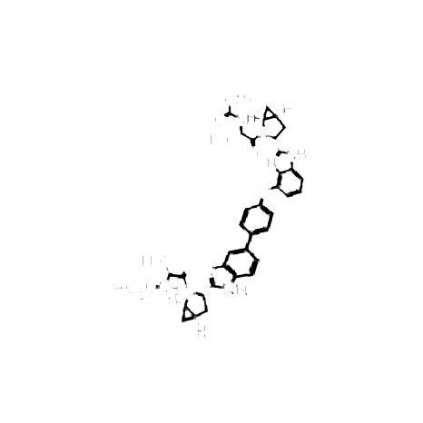 COC(=O)N[C@@H](C)C(=O)N1[C@@H]2C[C@H]2C[C@H]1c1nc2c(Oc3ccc(-c4ccc5[nH]c([C@@H]6C[C@H]7C[C@H]7N6C(=O)[C@H](C)NC(=O)O)nc5c4)cc3)cccc2[nH]1